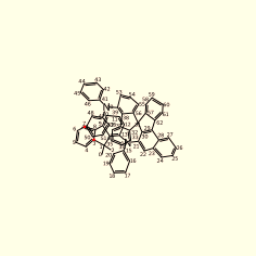 CC1(C)c2ccccc2-c2cccc(N(c3ccccc3)c3cc4ccccc4c4c3C3(c5ccccc5-c5c(N(c6ccccc6)c6ccccc6)cccc53)c3ccccc3-4)c21